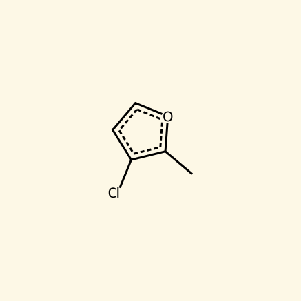 Cc1occc1Cl